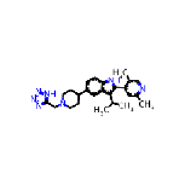 Cc1cc(-c2[nH]c3ccc(C4CCN(Cc5nnn[nH]5)CC4)cc3c2C(C)C)c(C)cn1